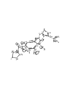 Cl.Cn1c(=O)c(Cc2ccc(C(=N)N)s2)nc2cc(C(C)(C)C(=O)N3CCCC3)ccc21